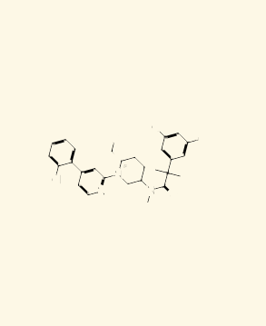 CN(C(=O)C(C)(C)c1cc(C(F)(F)F)cc(C(F)(F)F)c1)C1CC[C@H](CO)N(c2cc(-c3ccccc3Cl)ccn2)C1